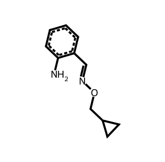 Nc1ccccc1/C=N/OCC1CC1